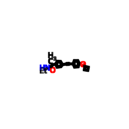 CCNC(=O)C(C)c1ccc(C#Cc2ccc(OC3CCC3)cc2)cc1